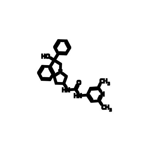 Cc1cc(NC(=O)NC2CCN(CC(O)(c3ccccc3)c3ccccc3)C2)cc(C)n1